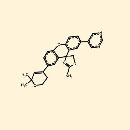 CC1(C)C=C(c2ccc3c(c2)[C@]2(COC(N)=N2)c2cc(-c4cncnc4)ccc2O3)CCO1